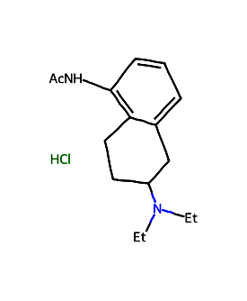 CCN(CC)C1CCc2c(cccc2NC(C)=O)C1.Cl